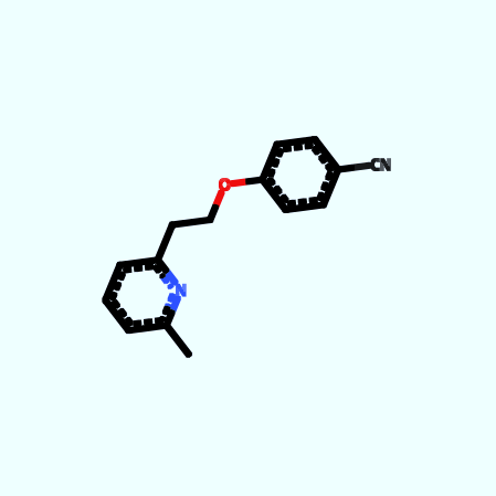 Cc1cccc(CCOc2ccc(C#N)cc2)n1